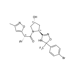 Cc1cc([C@H](C(=O)N2C[C@H](O)C[C@H]2C2=NOC(c3ccc(Br)cc3)(C(F)(F)F)N2)C(C)C)on1